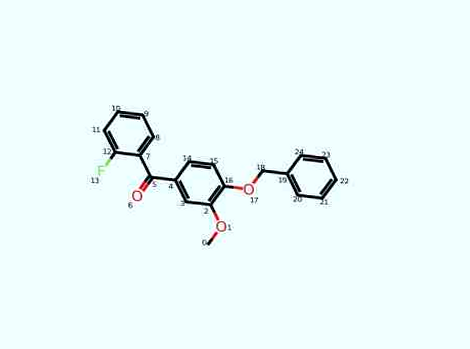 COc1cc(C(=O)c2ccccc2F)ccc1OCc1ccccc1